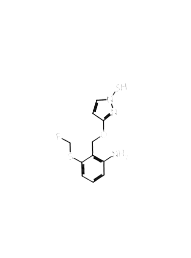 Nc1cccc(SCF)c1COc1ccn(S)n1